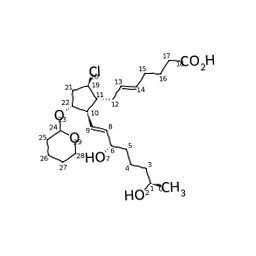 C[C@@H](O)CCC[C@H](O)/C=C/[C@@H]1[C@@H](C/C=C/CCCC(=O)O)[C@H](Cl)C[C@H]1OC1CCCCO1